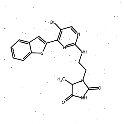 CC1C(=O)NC(=O)N1CCNc1ncc(Br)c(-c2cc3ccccc3s2)n1